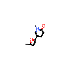 Cc1ccc(-c2ccc(=O)n(C)c2)o1